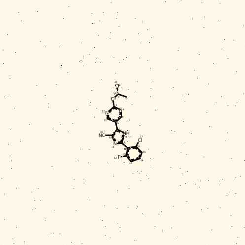 C[C@@H](Oc1ncc(-c2[nH]c(-c3c(F)cccc3Cl)nc2C#N)cn1)C(F)(F)F